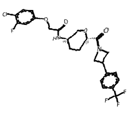 O=C(COc1ccc(Cl)c(F)c1)N[C@@H]1CC[C@@H](C(=O)N2CC(c3ccc(C(F)(F)F)cc3)C2)OC1